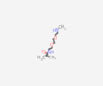 C=C(C)C(=O)NCCOCCOCCNC